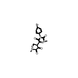 CN1N=CC(c2nn(C)c(=O)n(-c3ccc(Br)cc3)c2=O)C(=O)C1=O